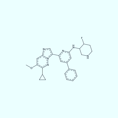 COc1cc2ncc(-c3cc(-c4ccccc4)cc(NC4CNCCC4F)n3)n2nc1C1CC1